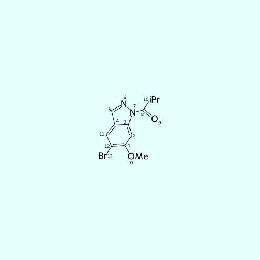 COc1cc2c(cnn2C(=O)C(C)C)cc1Br